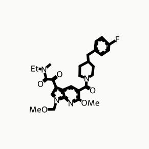 CCN(C)C(=O)C(=O)c1cn(COC)c2nc(OC)c(C(=O)N3CCC(Cc4ccc(F)cc4)CC3)cc12